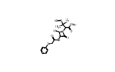 COC(=O)C(N1C(=O)C(NC(=O)COc2ccccc2)C1Cl)C(C)(C)SCl